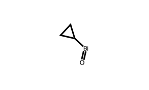 [O]=[Bi][CH]1CC1